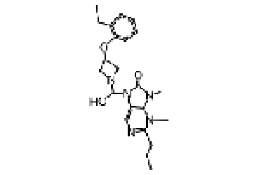 CCCC1=NC=C2C(N(C)C(=O)N2C(O)N2CC(Oc3ccccc3CC)C2)N1C